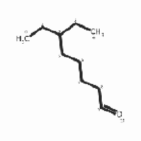 CCC(CC)CCCCC=O